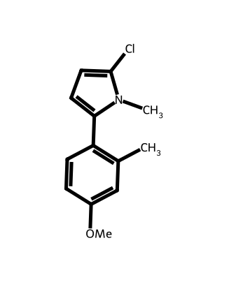 COc1ccc(-c2ccc(Cl)n2C)c(C)c1